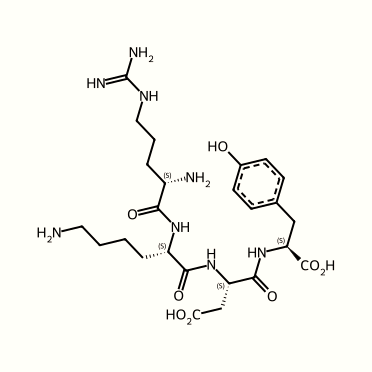 N=C(N)NCCC[C@H](N)C(=O)N[C@@H](CCCCN)C(=O)N[C@@H](CC(=O)O)C(=O)N[C@@H](Cc1ccc(O)cc1)C(=O)O